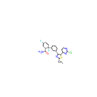 Cc1nc(-c2cccc(C3(F)C=CC(F)=CC3C(N)=O)c2)c(-c2ccnc(Cl)n2)s1